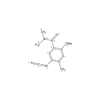 COc1cc(C)c(N=C=S)cc1C(=O)N(C)C